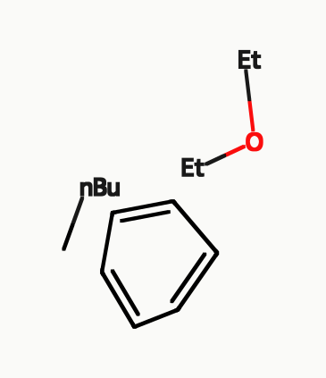 CCCCC.CCOCC.c1ccccc1